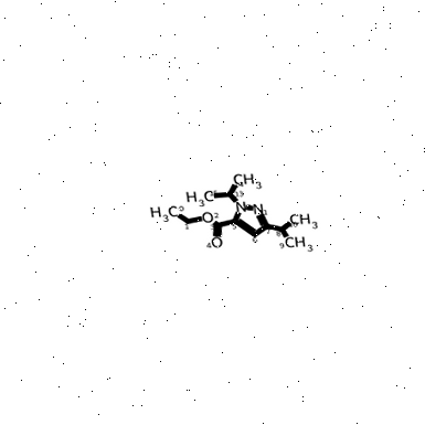 CCOC(=O)c1cc(C(C)C)nn1C(C)C